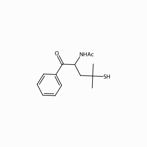 CC(=O)NC(CC(C)(C)S)C(=O)c1ccccc1